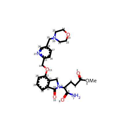 COC(=O)CCC(C(N)=O)N1Cc2c(OCc3ccc(CN4CCOCC4)cn3)cccc2C1=O